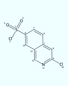 O=S(=O)(Cl)c1ccc2cc(Cl)ncc2c1